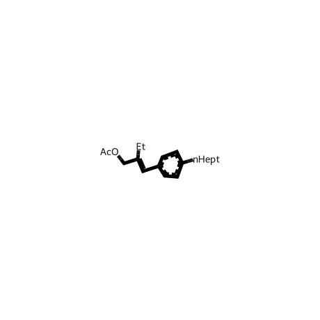 CCCCCCCc1ccc(/C=C(\CC)COC(C)=O)cc1